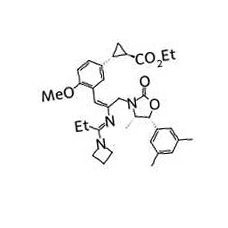 CCOC(=O)[C@@H]1C[C@H]1c1ccc(OC)c(/C=C(CN2C(=O)O[C@H](c3cc(C)cc(C)c3)[C@@H]2C)/N=C(\CC)N2CCC2)c1